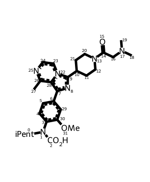 CCCC(C)N(C(=O)O)c1ccc(-c2nc(C3CCN(C(=O)CN(C)C)CC3)n3ccnc(C)c23)cc1OC